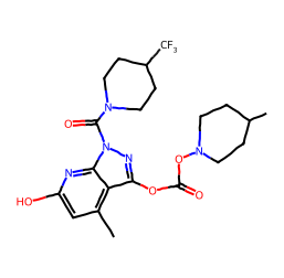 Cc1cc(O)nc2c1c(OC(=O)ON1CCC(C)CC1)nn2C(=O)N1CCC(C(F)(F)F)CC1